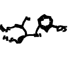 C/C=C(Nc1cccc(C(F)(F)F)c1)\C(=C/C)C(C)=O